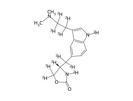 [2H]N1C(=O)OC([2H])([2H])[C@]1([2H])C([2H])([2H])c1ccc2c(c1)c(C([2H])([2H])C([2H])([2H])N(C)C)cn2[2H]